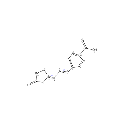 O=C1C/S(=N/N=C/c2ccc(C(=O)O)cc2)CN1